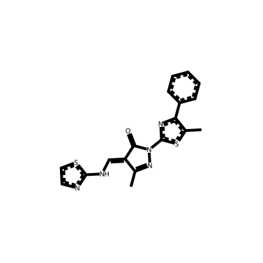 CC1=NN(c2nc(-c3ccccc3)c(C)s2)C(=O)/C1=C/Nc1nccs1